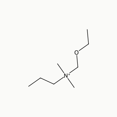 CCC[N+](C)(C)COCC